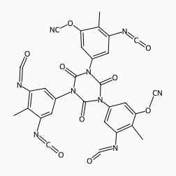 Cc1c(N=C=O)cc(-n2c(=O)n(-c3cc(N=C=O)c(C)c(OC#N)c3)c(=O)n(-c3cc(N=C=O)c(C)c(OC#N)c3)c2=O)cc1N=C=O